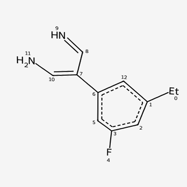 CCc1cc(F)cc(/C(C=N)=C/N)c1